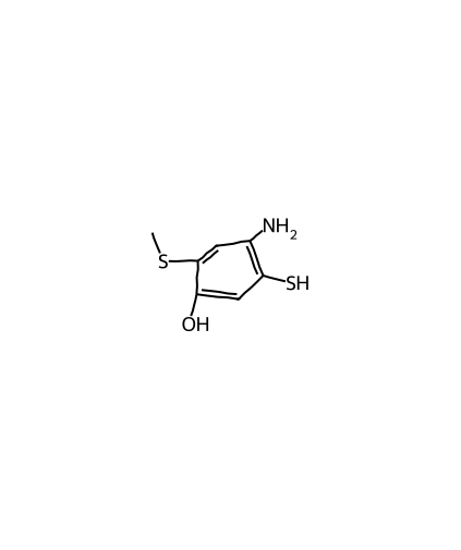 CSc1cc(N)c(S)cc1O